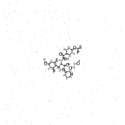 COCCOc1ncccc1N1C[C@@H](c2c(F)cc(OC)cc2F)C(CNC(=O)c2ccc(OC(F)F)cc2)C1=O